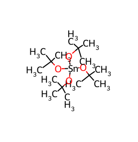 CC(C)(C)[O][Sn]([O]C(C)(C)C)([O]C(C)(C)C)[O]C(C)(C)C